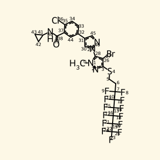 Cn1nc(SCCC(F)(F)C(F)(F)C(F)(F)C(F)(F)C(F)(F)C(F)(F)F)c(Br)c1-n1cc(-c2ccc(Cl)c(C(=O)NC3CC3)c2)cn1